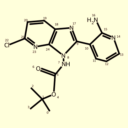 CC(C)(C)OC(=O)Nn1c(-c2cccnc2N)nc2ccc(Cl)nc21